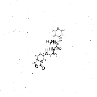 C[C@@H](CNc1ccc2c(c1)C(=O)OC2)NC(=O)[C@@H](N)CC1CCCCC1